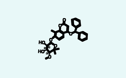 CO[C@@H]1[C@H](O)[C@@H](O)[C@H](Oc2ccc3c(OC(c4ccccc4)c4ccccc4)cc(=O)oc3c2C)OC1(C)C